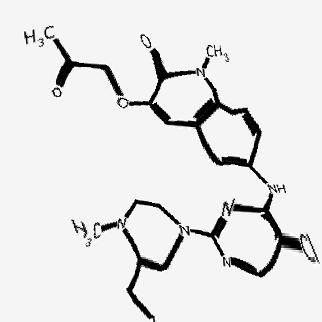 CC(=O)COc1cc2cc(Nc3nc(N4CCN(C)C(CI)C4)ncc3Cl)ccc2n(C)c1=O